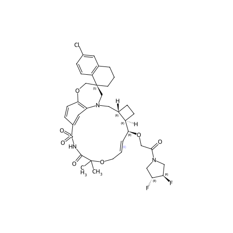 CC1(C)OC/C=C/[C@H](OCC(=O)N2C[C@@H](F)[C@H](F)C2)[C@@H]2CC[C@H]2CN2C[C@@]3(CCCc4cc(Cl)ccc43)COc3ccc(cc32)S(=O)(=O)NC1=O